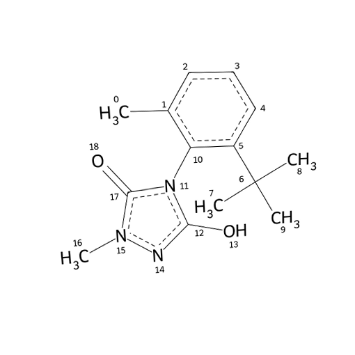 Cc1cccc(C(C)(C)C)c1-n1c(O)nn(C)c1=O